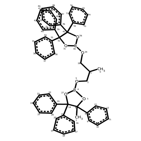 CC(COB1OC(C)(c2ccccc2)C(c2ccccc2)(c2ccccc2)O1)COB1OC(c2ccccc2)(c2ccccc2)C(c2ccccc2)(c2ccccc2)O1